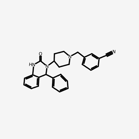 N#Cc1cccc(CN2CCC(N3C(=O)Nc4ccccc4C3c3ccccc3)CC2)c1